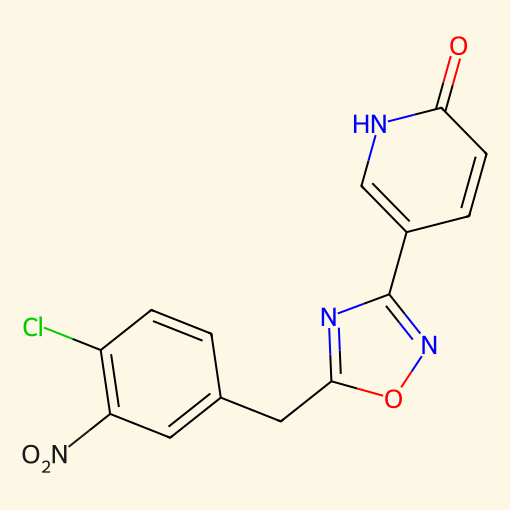 O=c1ccc(-c2noc(Cc3ccc(Cl)c([N+](=O)[O-])c3)n2)c[nH]1